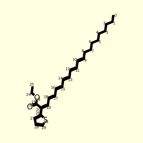 CCCCCCCCCC=CC=CC=CC=CC=CC=C(C(=O)OCC)c1cccs1